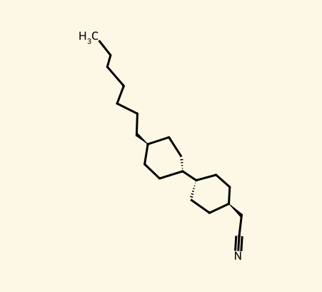 CCCCCCC[C@H]1CC[C@H]([C@H]2CC[C@H](CC#N)CC2)CC1